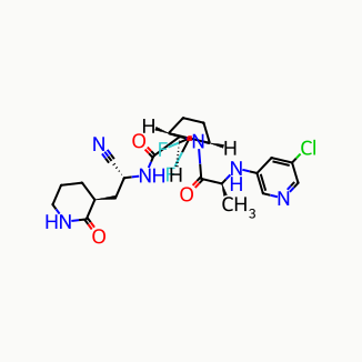 C[C@H](Nc1cncc(Cl)c1)C(=O)N1[C@H]2CC[C@@H]([C@@H]1C(=O)N[C@@H](C#N)C[C@@H]1CCCNC1=O)C(F)(F)C2